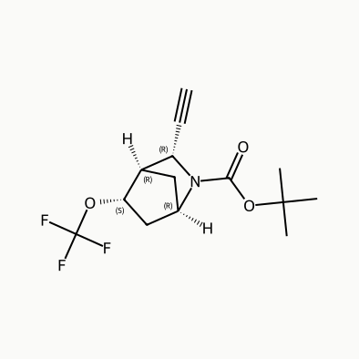 C#C[C@H]1[C@H]2C[C@H](C[C@@H]2OC(F)(F)F)N1C(=O)OC(C)(C)C